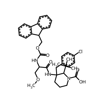 COCC(NC(=O)OCC1c2ccccc2-c2ccccc21)C(=O)NC1(Cc2ccc(Cl)cc2)CCCN(C(=O)O)C1C(C)(C)C